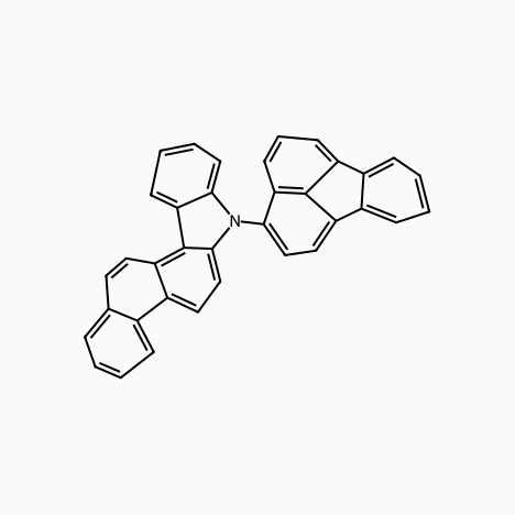 c1ccc2c(c1)-c1cccc3c(-n4c5ccccc5c5c6ccc7ccccc7c6ccc54)ccc-2c13